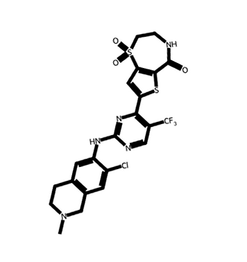 CN1CCc2cc(Nc3ncc(C(F)(F)F)c(-c4cc5c(s4)C(=O)NCCS5(=O)=O)n3)c(Cl)cc2C1